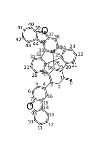 C=C1CC(c2ccc3oc4ccccc4c3c2)=CC2=C1c1ccccc1C21c2ccccc2-c2c1ccc1oc3ccccc3c21